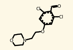 O=[C]c1c(Cl)cc(OCCN2CCOCC2)cc1Cl